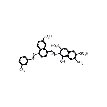 Nc1cc2c(O)c(/N=N/c3ccc(/N=N/c4cccc(C(F)(F)F)c4)c4ccc(S(=O)(=O)O)cc34)c(S(=O)(=O)O)cc2cc1S(=O)(=O)O